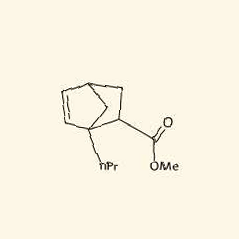 CCCC12C=CC(CC1C(=O)OC)C2